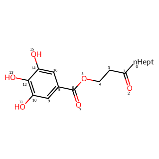 CCCCCCCC(=O)CCOC(=O)c1cc(O)c(O)c(O)c1